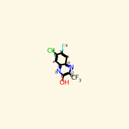 Oc1nc2cc(Cl)c(F)cc2nc1C(F)(F)F